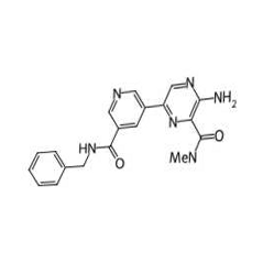 CNC(=O)c1nc(-c2cncc(C(=O)NCc3ccccc3)c2)cnc1N